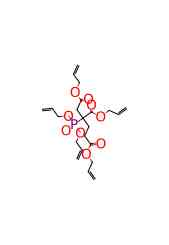 C=CCOC(=O)CCC(CC(=O)OCC=C)(C(=O)OCC=C)P(=O)(OCC=C)OCC=C